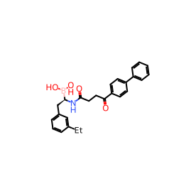 CCc1cccc(C[C@H](NC(=O)CCC(=O)c2ccc(-c3ccccc3)cc2)B(O)O)c1